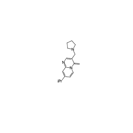 C=C1C(CN2CCCC2)=CN=C2C=C(C(C)C)C=CN12